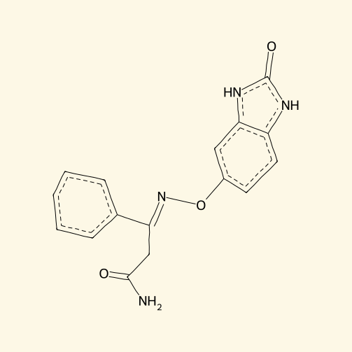 NC(=O)C/C(=N\Oc1ccc2[nH]c(=O)[nH]c2c1)c1ccccc1